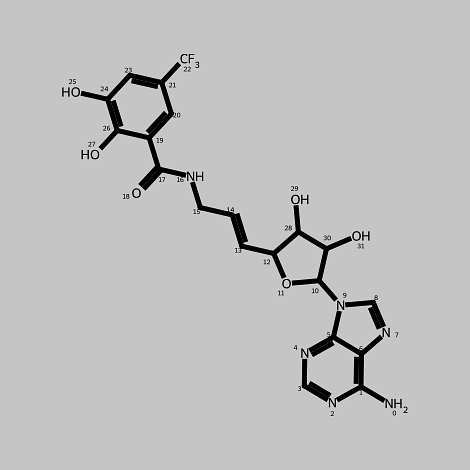 Nc1ncnc2c1ncn2C1OC(C=CCNC(=O)c2cc(C(F)(F)F)cc(O)c2O)C(O)C1O